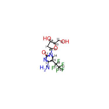 Nc1nc(=O)n([C@H]2C[C@H](O)[C@@H](CO)O2)cc1C(F)(F)C(F)(F)F